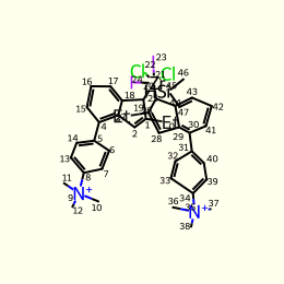 CCC1=Cc2c(-c3ccc([N+](C)(C)C)cc3)cccc2[CH]1[Zr]([Cl])([Cl])([I])([I])([CH]1C(CC)=Cc2c(-c3ccc([N+](C)(C)C)cc3)cccc21)[SiH](C)C